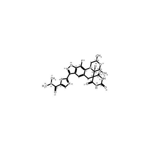 C[C@@H]1CN2c3c(cc4c(-c5ncc(C(=O)N(C)C)s5)noc4c3F)CC3(C(=O)NC(=O)NC3=O)[C@H]2[C@H](C)O1